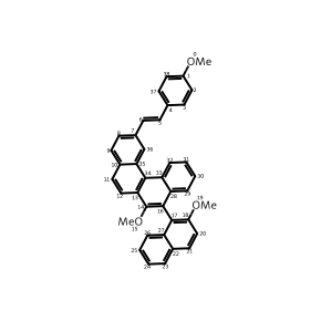 COc1ccc(C=Cc2ccc3ccc4c(OC)c(-c5c(OC)ccc6ccccc56)c5ccccc5c4c3c2)cc1